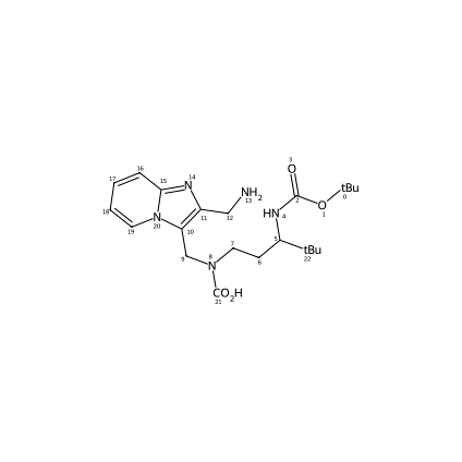 CC(C)(C)OC(=O)NC(CCN(Cc1c(CN)nc2ccccn12)C(=O)O)C(C)(C)C